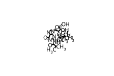 CC(C)C(=O)NC1=Nc2c(ncn2[C@@H]2O[C@H](CO)C(O)C2O[Si](C)(C)C(C)(C)C)C(=O)[N]1